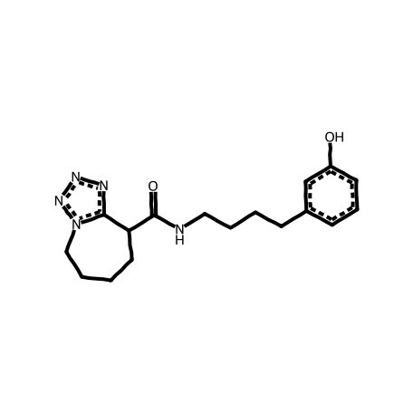 O=C(NCCCCc1cccc(O)c1)C1CCCCn2nnnc21